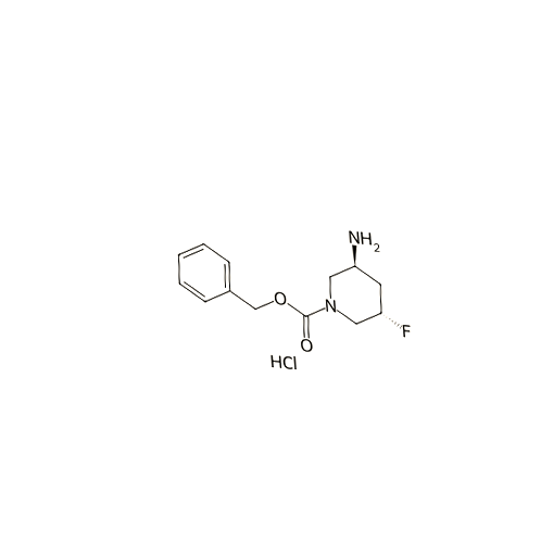 Cl.N[C@H]1C[C@H](F)CN(C(=O)OCc2ccccc2)C1